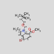 COC(=O)c1ccc(Br)c2cc(C)n(COCC[Si](C)(C)C)c12